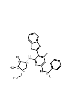 Cc1nc(N[C@@H](C)c2ccccc2)nc(N[C@@H]2C[C@H](CO)[C@@H](O)[C@H]2O)c1-c1nc2ccccc2s1